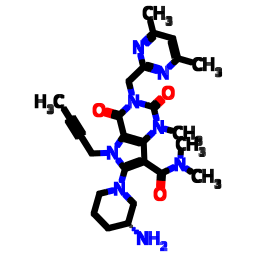 CC#CCn1c(N2CCC[C@@H](N)C2)c(C(=O)N(C)C)c2c1c(=O)n(Cc1nc(C)cc(C)n1)c(=O)n2C